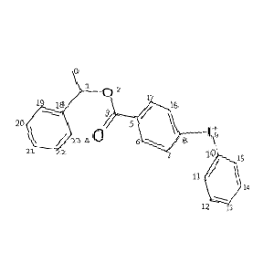 CC(OC(=O)c1ccc([I+]c2ccccc2)cc1)c1ccccc1